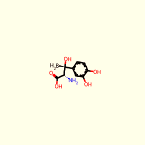 B[C@@](O)(c1ccc(O)c(O)c1)[C@H](N)C(=O)O